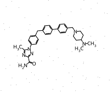 Cc1nc(C(N)=O)nn1-c1ccc(Cc2ccc(-c3ccc(CN4CCC(N(C)C)CC4)cc3)cc2)cc1